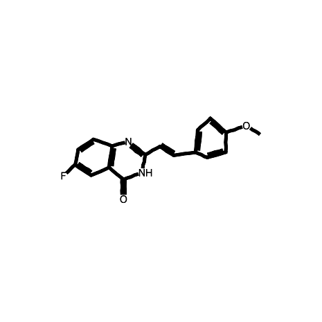 COc1ccc(/C=C/c2nc3ccc(F)cc3c(=O)[nH]2)cc1